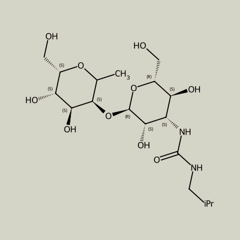 CC(C)CNC(=O)N[C@@H]1[C@H](O)[C@@H](O[C@@H]2C(C)O[C@@H](CO)[C@@H](O)[C@@H]2O)O[C@H](CO)[C@H]1O